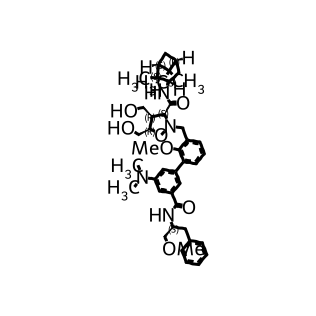 COC[C@H](Cc1ccccc1)NC(=O)c1cc(-c2cccc(CN3O[C@@H](CO)[C@@H](CO)[C@H]3C(=O)N[C@H]3C[C@H]4C[C@@H]([C@@H]3C)C4(C)C)c2OC)cc(N(C)C)c1